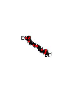 CCNc1ccc(N=Nc2cc(C)c(N=Nc3ccc(/N=N/c4ccc(N=Nc5cc(C)c(N=Nc6ccc(NCC)c7ccccc67)cc5C)cc4)cc3)cc2C)c2ccccc12